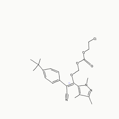 Cc1nn(C)c(/C(OCOC(=O)OCCCl)=C(\C#N)c2ccc(C(C)(C)C)cc2)c1C